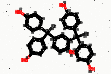 CCC(c1ccc(O)cc1)(c1ccc(O)cc1)c1ccc(O)c(C(CC)(c2ccc(O)cc2)c2ccc(O)cc2)c1